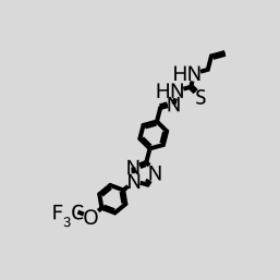 C=CCNC(=S)N/N=C/c1ccc(-c2ncn(-c3ccc(OC(F)(F)F)cc3)n2)cc1